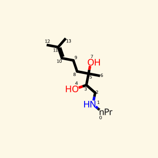 CCCNCC(O)C(C)(O)CCC=C(C)C